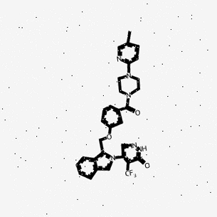 Cc1ccc(N2CCN(C(=O)c3cccc(OCc4c5ccccc5cn4-c4cn[nH]c(=O)c4C(F)(F)F)c3)CC2)nc1